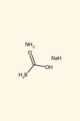 BC(=O)O.N.[NaH]